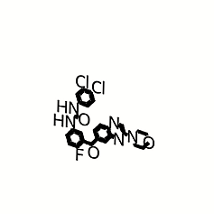 O=C(Nc1ccc(Cl)c(Cl)c1)Nc1ccc(F)c(C(=O)c2ccc3ncc(N4CCOCC4)nc3c2)c1